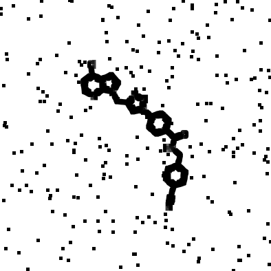 N#Cc1ccc(CNC(=O)c2ccc(-n3cc(Cn4ccc5c(Cl)ccnc54)nn3)cc2)cc1